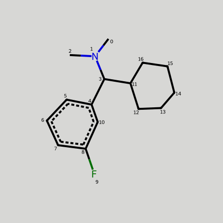 CN(C)C(c1cccc(F)c1)C1CCCCC1